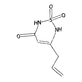 C=CCC1=CC(=O)NS(=O)(=O)N1